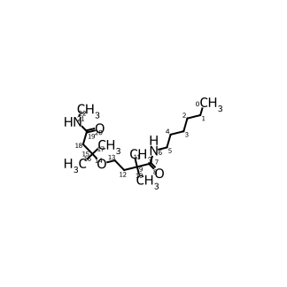 CCCCCCNC(=O)C(C)(C)CCOC(C)(C)CC(=O)NC